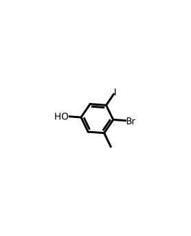 Cc1cc(O)cc(I)c1Br